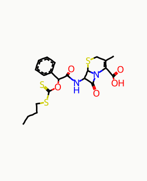 CCCCSC(=S)OC(C(=O)NC1C(=O)N2C(C(=O)O)=C(C)CSC12)c1ccccc1